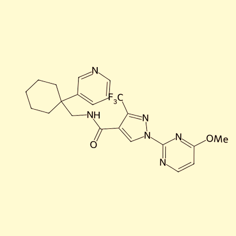 COc1ccnc(-n2cc(C(=O)NCC3(c4cccnc4)CCCCC3)c(C(F)(F)F)n2)n1